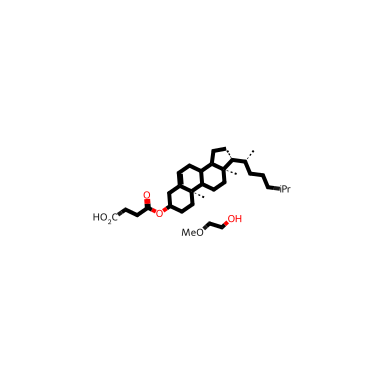 CC(C)CCC[C@@H](C)[C@H]1CCC2C3CC=C4CC(OC(=O)CCC(=O)O)CC[C@]4(C)C3CC[C@@]21C.COCCO